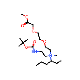 CCCC(CC)[N+](C)(CCNC(=O)OC(C)(C)C)CCOCCOCC(=O)OC